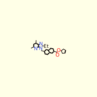 CCc1nc2c(C)cc(C)nc2n1Cc1ccc2cc(C(=O)OC3CC=CC3)ccc2c1